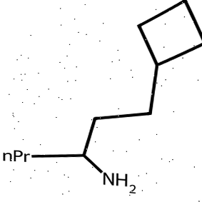 CCCC(N)CCC1CCC1